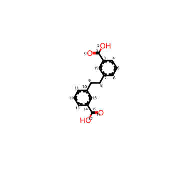 O=C(O)c1cccc([CH]Cc2cccc(C(=O)O)c2)c1